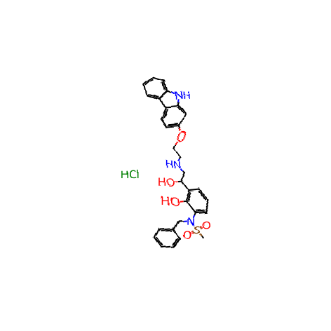 CS(=O)(=O)N(Cc1ccccc1)c1cccc(C(O)CNCCOc2ccc3c(c2)[nH]c2ccccc23)c1O.Cl